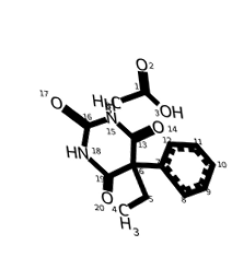 CC(=O)O.CCC1(c2ccccc2)C(=O)NC(=O)NC1=O